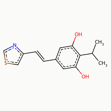 CC(C)c1c(O)cc(C=Cc2cscn2)cc1O